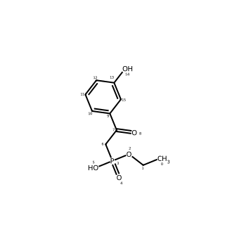 CCOP(=O)(O)CC(=O)c1cccc(O)c1